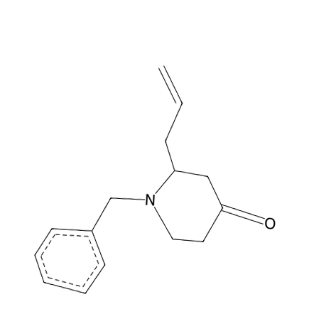 C=CCC1CC(=O)CCN1Cc1ccccc1